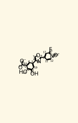 O=[N+]([O-])c1cc(-c2coc(-c3cc[n+]([O-])c(F)c3)n2)cc(O)c1O